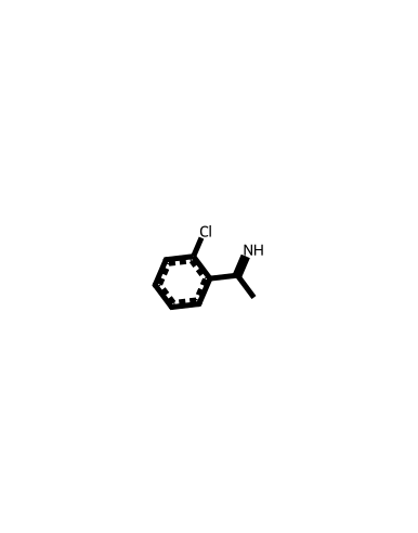 CC(=N)c1ccccc1Cl